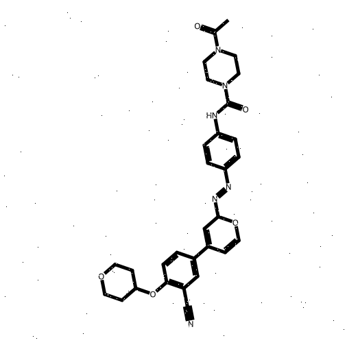 CC(=O)N1CCN(C(=O)Nc2ccc(N=NC3C=C(c4ccc(OC5CCOCC5)c(C#N)c4)C=CO3)cc2)CC1